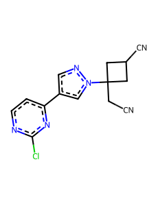 N#CCC1(n2cc(-c3ccnc(Cl)n3)cn2)CC(C#N)C1